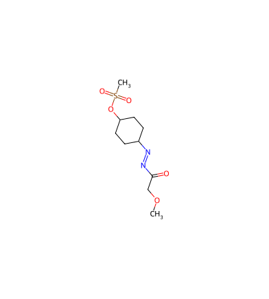 COCC(=O)/N=N/C1CCC(OS(C)(=O)=O)CC1